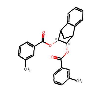 Cc1cccc(C(=O)O[C@@H]2C3CC(c4ccccc43)[C@@H]2OC(=O)c2cccc(C)c2)c1